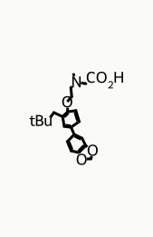 CN(CCOc1ccc(-c2ccc3c(c2)OCO3)cc1CC(C)(C)C)CC(=O)O